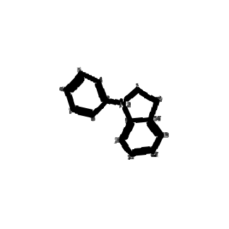 [CH]1CN(c2ccccc2)c2ccccc21